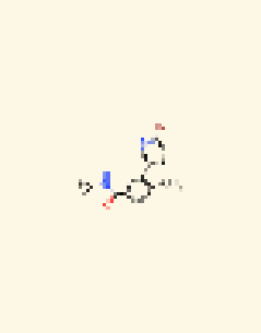 Cc1ccc(C(=O)NC2CC2)cc1-c1ccc(Br)nc1